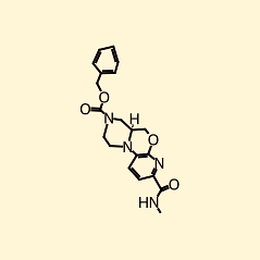 CNC(=O)c1ccc2c(n1)OC[C@@H]1CN(C(=O)OCc3ccccc3)CCN21